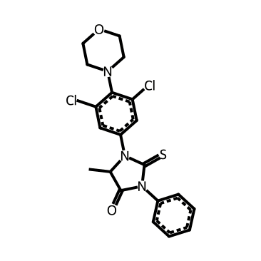 CC1C(=O)N(c2ccccc2)C(=S)N1c1cc(Cl)c(N2CCOCC2)c(Cl)c1